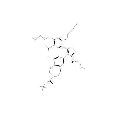 CCCCOc1cc(OCCCC)c(C(C)C)cc1-c1onc(C(=O)NCC)c1-c1ccc2c(c1)CCN(C(=O)OC(C)(C)C)CC2